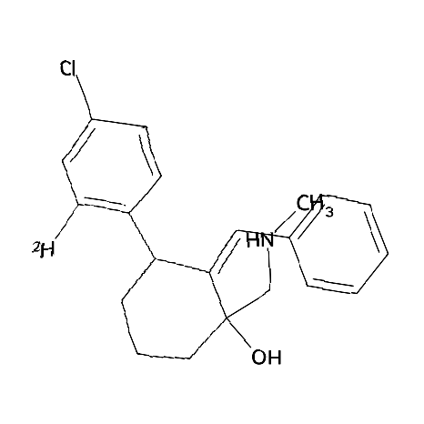 [2H]c1cc(Cl)ccc1C1CCCC(O)(CNC)C1=Cc1ccccc1